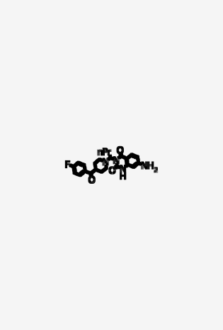 CCCC(N1CCC(C(=O)c2ccc(F)cc2)CC1)n1c(=O)[nH]c2cc(N)ccc2c1=O